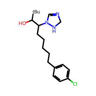 CC(C)(C)C(O)C(CCCCCc1ccc(Cl)cc1)N1C=NCN1